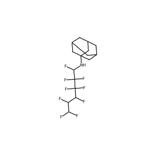 FC(F)C(F)C(F)C(F)(F)C(F)(F)C(F)NC12CC3CC(CC(C3)C1)C2